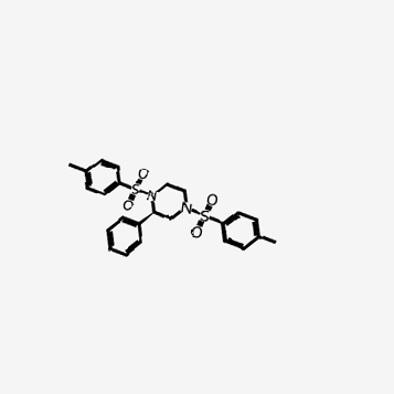 Cc1ccc(S(=O)(=O)N2CCN(S(=O)(=O)c3ccc(C)cc3)[C@H](c3ccccc3)C2)cc1